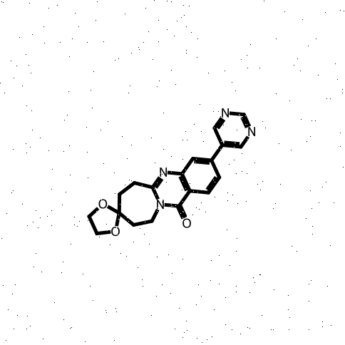 O=c1c2ccc(-c3cncnc3)cc2nc2n1CCC1(CC2)OCCO1